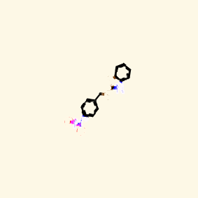 O=[N+]([O-])c1ccc(CSc2nc3ccccc3s2)cc1